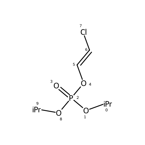 CC(C)OP(=O)(OC=CCl)OC(C)C